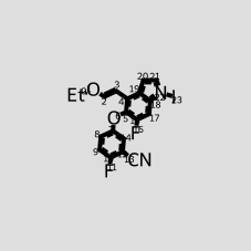 CCO/C=C/c1c(Oc2ccc(F)c(C#N)c2)c(F)cc2c1ccn2I